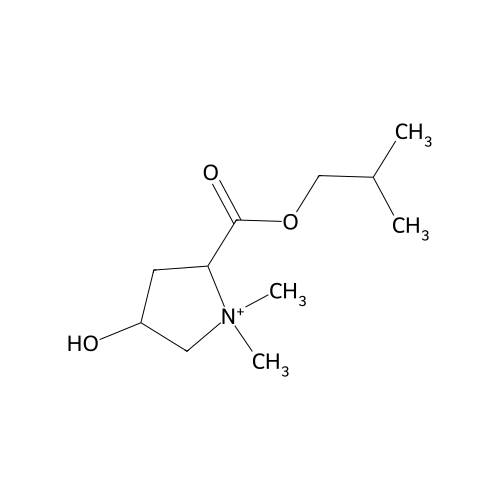 CC(C)COC(=O)C1CC(O)C[N+]1(C)C